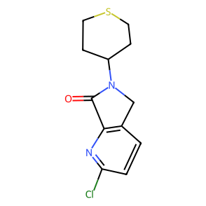 O=C1c2nc(Cl)ccc2CN1C1CCSCC1